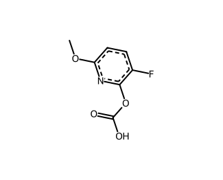 COc1ccc(F)c(OC(=O)O)n1